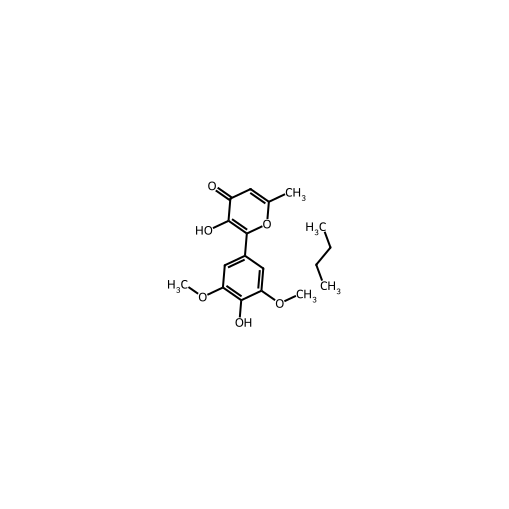 CCCC.COc1cc(-c2oc(C)cc(=O)c2O)cc(OC)c1O